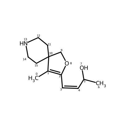 CC1=C(/C=C\C(C)O)OCC12CCNCC2